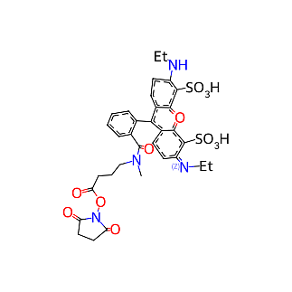 CC/N=c1/ccc2c(-c3ccccc3C(=O)N(C)CCCC(=O)ON3C(=O)CCC3=O)c3ccc(NCC)c(S(=O)(=O)O)c3oc-2c1S(=O)(=O)O